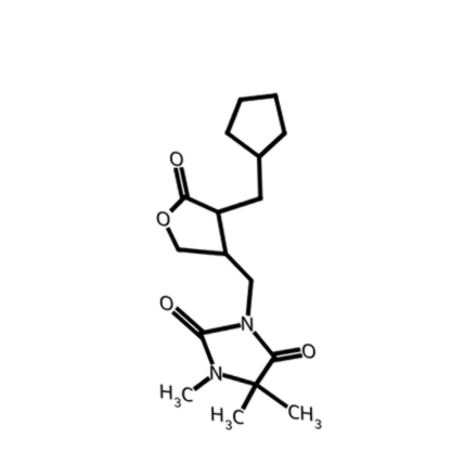 CN1C(=O)N(CC2COC(=O)C2CC2CCCC2)C(=O)C1(C)C